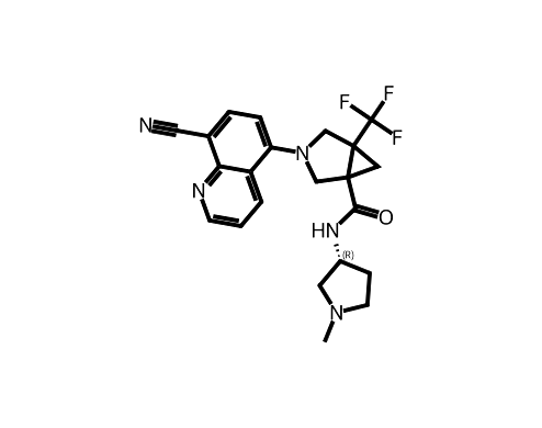 CN1CC[C@@H](NC(=O)C23CN(c4ccc(C#N)c5ncccc45)CC2(C(F)(F)F)C3)C1